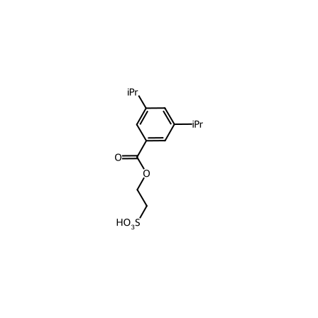 CC(C)c1cc(C(=O)OCCS(=O)(=O)O)cc(C(C)C)c1